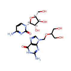 Nc1ccn([C@@H]2O[C@H](CO)[C@@H](O)[C@@H]2O)c(=O)n1.Nc1nc2c(ncn2COC(CO)CO)c(=O)[nH]1